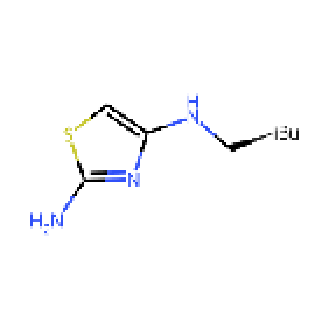 CC[C@H](C)CNc1csc(N)n1